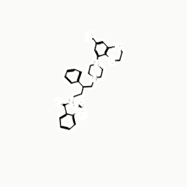 O=C1c2ccccc2S(=O)(=O)N1CCC(CN1CCN(c2cc(Cl)cc3c2OCCO3)CC1)c1ccccc1